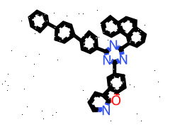 c1ccc(-c2ccc(-c3ccc(-c4nc(-c5ccc6oc7ncccc7c6c5)nc(-c5cccc6ccc7ccccc7c56)n4)cc3)cc2)cc1